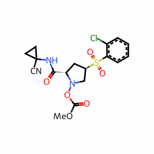 COC(=O)ON1C[C@H](S(=O)(=O)c2ccccc2Cl)C[C@H]1C(=O)NC1(C#N)CC1